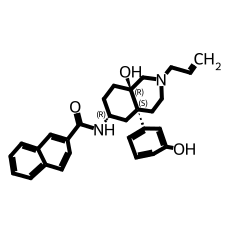 C=CCN1CC[C@@]2(c3cccc(O)c3)C[C@H](NC(=O)c3ccc4ccccc4c3)CC[C@]2(O)C1